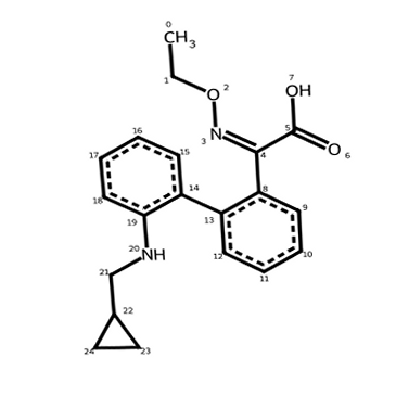 CCON=C(C(=O)O)c1ccccc1-c1ccccc1NCC1CC1